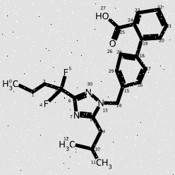 CCCC(F)(F)c1nc(CC(C)C)n(Cc2ccc(-c3ccccc3C(=O)O)cc2)n1